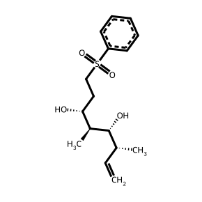 C=C[C@@H](C)[C@@H](O)[C@@H](C)[C@H](O)CCS(=O)(=O)c1ccccc1